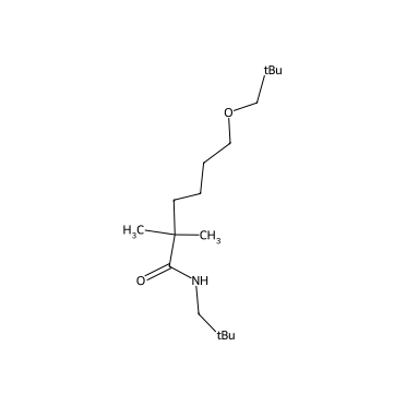 CC(C)(C)CNC(=O)C(C)(C)CCCCOCC(C)(C)C